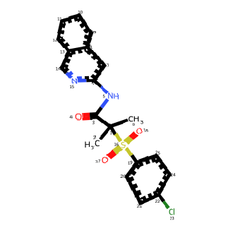 CC(C)(C(=O)Nc1cc2ccccc2cn1)S(=O)(=O)c1ccc(Cl)cc1